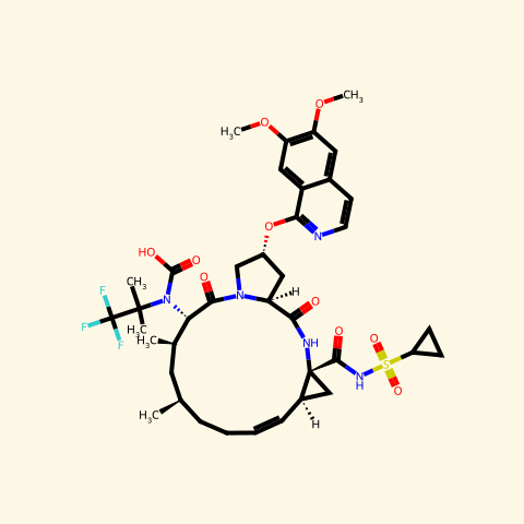 COc1cc2ccnc(O[C@@H]3C[C@H]4C(=O)N[C@]5(C(=O)NS(=O)(=O)C6CC6)C[C@H]5/C=C\CC[C@@H](C)C[C@@H](C)[C@H](N(C(=O)O)C(C)(C)C(F)(F)F)C(=O)N4C3)c2cc1OC